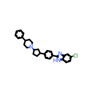 Clc1ccc2[nH]c(-c3ccc(C4CCC(N5CCC(c6ccccc6)CC5)C4)cc3)nc2c1